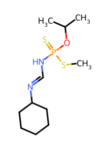 CSP(=S)(NC=NC1CCCCC1)OC(C)C